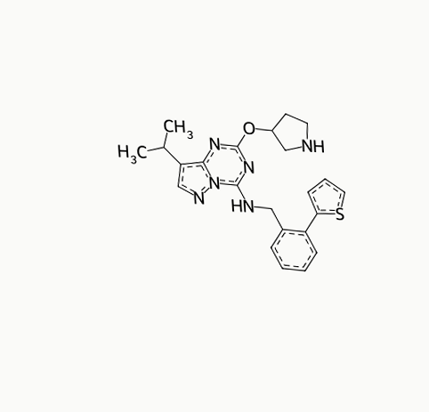 CC(C)c1cnn2c(NCc3ccccc3-c3cccs3)nc(OC3CCNC3)nc12